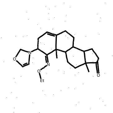 CCON=C1C(N2C=COC2)CC=C2CCC3C4CCC(=O)C4(C)CCC3C21C